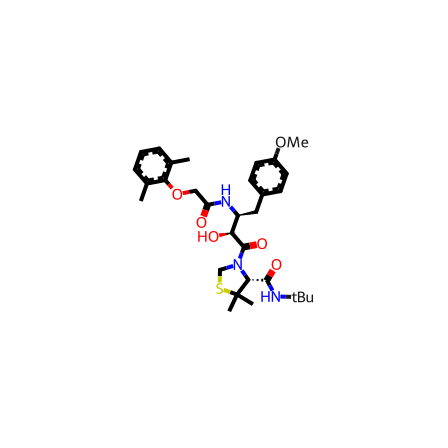 COc1ccc(C[C@H](NC(=O)COc2c(C)cccc2C)[C@H](O)C(=O)N2CSC(C)(C)[C@H]2C(=O)NC(C)(C)C)cc1